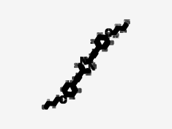 CCCCOc1ccc(C#Cc2cnc(C#Cc3ccc(OCCCC)cc3)nc2)cc1